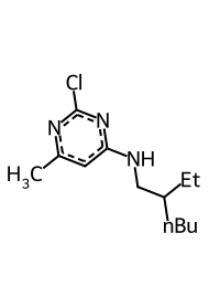 CCCCC(CC)CNc1cc(C)nc(Cl)n1